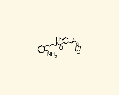 C/C=C(/C)C(=CC/C=C(\C)CN1CCOCC1)C(=O)NCCCCC1=C(CN)CC=CC=C1